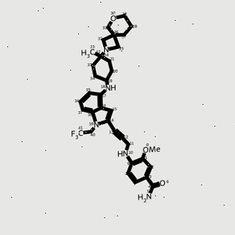 COc1cc(C(N)=O)ccc1NCC#Cc1cc2c(NC3CCC(C)(N4CC5(CCCOC5)C4)CC3)cccc2n1CC(F)(F)F